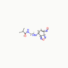 CC(C)C(=O)NCCNc1ccc(N=O)c2nonc12